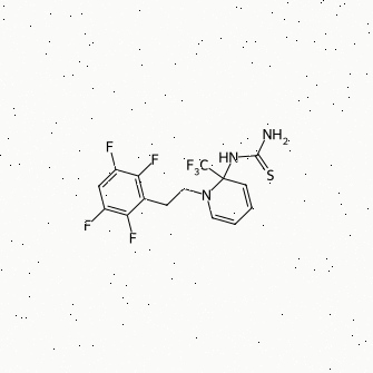 NC(=S)NC1(C(F)(F)F)C=CC=CN1CCc1c(F)c(F)cc(F)c1F